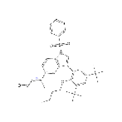 CCCCOc1c(-c2cn(S(=O)(=O)c3ccccc3)c3ccc(/C(C)=C/C=O)cc23)cc(C(C)(C)C)cc1C(C)(C)C